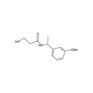 COc1cccc(C(C)NC(=O)CCO)c1